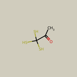 CC(=O)C(S)(S)S